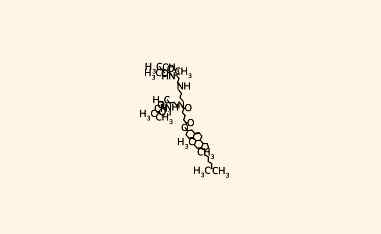 CC(C)CCCCC1CCC2C3CC=C4CC(OC(=O)CCCC(=O)N(CCCCNCCC(C)NC(=O)OC(C)(C)C)CCC(C)NC(=O)OC(C)(C)C)CCC4(C)C3CCC12C